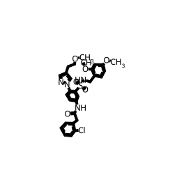 COCCc1cnn(-c2ccc(NC(=O)Cc3ccccc3Cl)cc2S(=O)(=O)NCc2ccc(OC)cc2OC)c1